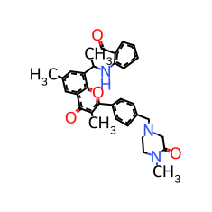 Cc1cc(C(C)Nc2ccccc2C=O)c2oc(-c3ccc(CN4CCN(C)C(=O)C4)cc3)c(C)c(=O)c2c1